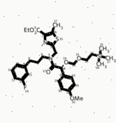 CCOC(=O)c1nc(CN(CCCc2cccc(F)c2)C(=O)[C@H](OCOCC[Si](C)(C)C)c2ccc(OC)cc2)sc1C